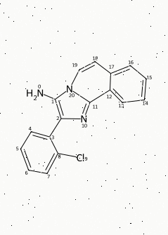 Nc1c(-c2ccccc2Cl)nc2c3ccccc3ccn12